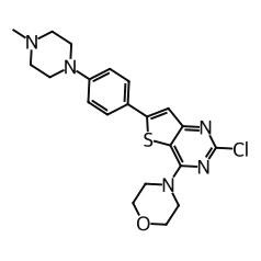 CN1CCN(c2ccc(-c3cc4nc(Cl)nc(N5CCOCC5)c4s3)cc2)CC1